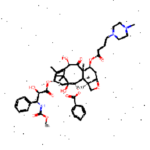 CC(=O)O[C@@]12COC1C[C@H](OC(=O)CCCN1CCN(C)CC1)C1(C)C(=O)[C@H](O)C3=C(C)[C@@H](OC(=O)C(O)[C@@H](NC(=O)OC(C)(C)C)c4ccccc4)CC(O)([C@@H](OC(=O)c4ccccc4)[C@@H]12)C3(C)C